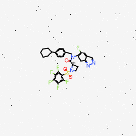 O=C([C@H]1CCN1S(=O)(=O)c1c(F)c(F)c(F)c(F)c1F)N(Cc1ccc(C2CCCCC2)cc1)C1=C(F)C=C2C=NN=C2C1